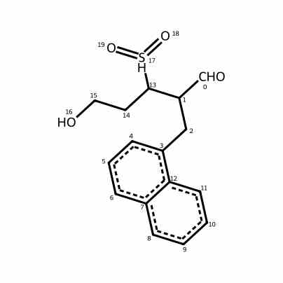 O=CC(Cc1cccc2ccccc12)C(CCO)[SH](=O)=O